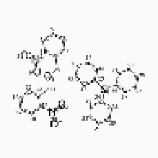 O=[N+]([O-])c1ccccc1COCc1ccccc1[N+](=O)[O-].c1ccc([Si](c2ccccc2)c2ccccc2)cc1